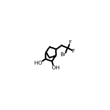 OC1C2CC(CC(F)(F)Br)C(C2)C1O